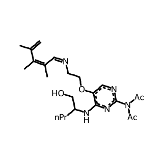 C=C(C)/C(C)=C(C)\C=N/CCOc1cnc(N(C(C)=O)C(C)=O)nc1NC(CO)CCC